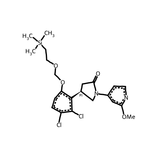 COc1cc(N2C[C@@H](c3c(OCOCC[Si](C)(C)C)ccc(Cl)c3Cl)CC2=O)ccn1